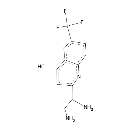 Cl.NCC(N)c1ccc2cc(C(F)(F)F)ccc2n1